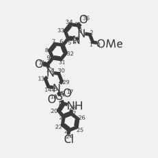 COCCn1nc(-c2ccc(C(=O)N3CCN(S(=O)(=O)c4cc5cc(Cl)ccc5[nH]4)CC3)cc2)ccc1=O